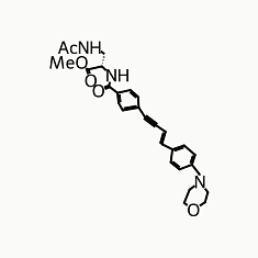 COC(=O)[C@H](CNC(C)=O)NC(=O)c1ccc(C#C/C=C/c2ccc(CN3CCOCC3)cc2)cc1